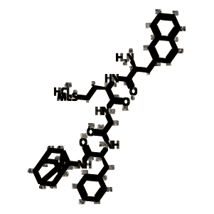 CSCC[C@@H](NC(=O)[C@@H](N)Cc1ccc2ccccc2c1)C(=O)NCC(=O)N[C@@H](Cc1ccccc1)C(=O)NC1C2CC3CC(C2)CC1C3.Cl